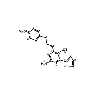 COc1ccc(CCNc2nc(N)nc(-c3cccs3)c2C#N)cc1